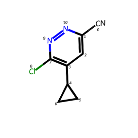 N#Cc1cc(C2CC2)c(Cl)nn1